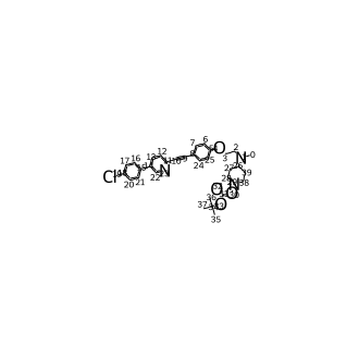 CN(CCOc1ccc(C#Cc2ccc(-c3ccc(Cl)cc3)cn2)cc1)C1CCN(OC(=O)OC(C)(C)C)CC1